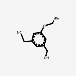 CC[C@H](C)COc1cc(CO)cc(CC#N)c1